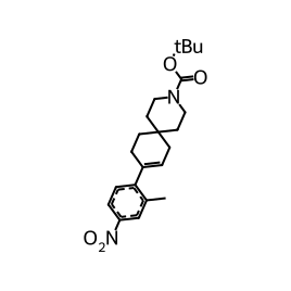 Cc1cc([N+](=O)[O-])ccc1C1=CCC2(CC1)CCN(C(=O)OC(C)(C)C)CC2